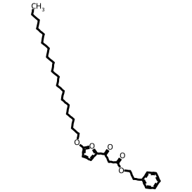 CCCCCCCCCCCCCCCCCCCOc1ccc(C(=O)CC(=O)OCCc2ccccc2)o1